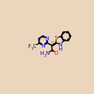 NC(=O)/C(=C1\Nc2ccccc2S1)c1nccc(C(F)(F)F)n1